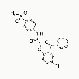 CS(=O)(=O)c1ccc(NC(=O)COc2ccc(Cl)cc2C(=O)c2ccccc2)cc1